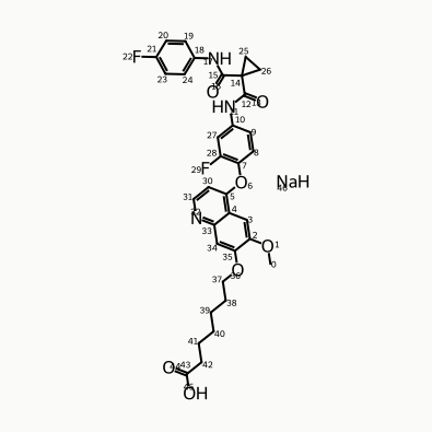 COc1cc2c(Oc3ccc(NC(=O)C4(C(=O)Nc5ccc(F)cc5)CC4)cc3F)ccnc2cc1OCCCCCCC(=O)O.[NaH]